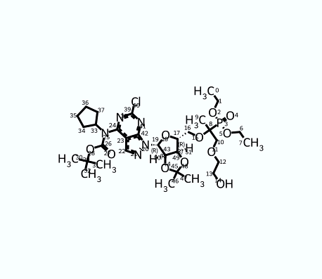 CCOP(=O)(OCC)C(C)(COCCO)OC[C@H]1O[C@@H](n2ncc3c(N(C(=O)OC(C)(C)C)C4CCCC4)nc(Cl)nc32)[C@@H]2OC(C)(C)O[C@@H]21